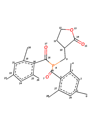 Cc1cc(C)c(C(=O)P(CC2CCOC2=O)C(=O)c2c(C)cc(C)cc2C)c(C)c1